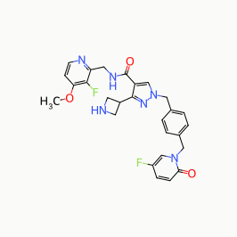 COc1ccnc(CNC(=O)c2cn(Cc3ccc(Cn4cc(F)ccc4=O)cc3)nc2C2CNC2)c1F